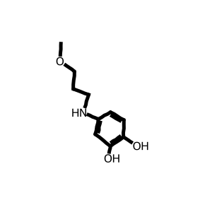 COCCCNc1ccc(O)c(O)c1